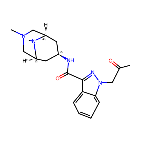 CC(=O)Cn1nc(C(=O)N[C@@H]2C[C@@H]3CN(C)C[C@H](C2)N3C)c2ccccc21